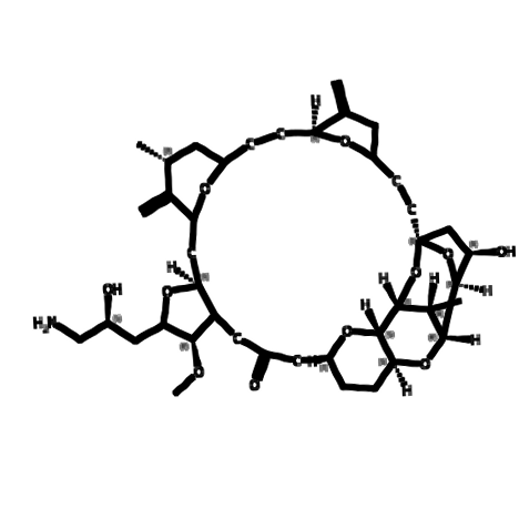 C=C1C2C[C@@H]3OC(C[C@H](O)CN)[C@H](OC)C3CC(=O)C[C@H]3CC[C@@H]4O[C@@H]5[C@@H](C)[C@@H](O[C@@]6(CCC7CC(=C)[C@H](CCC(C[C@H]1C)O2)O7)C[C@@H](O)[C@@H]5O6)[C@H]4O3